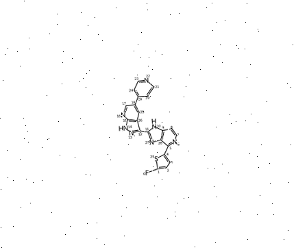 Fc1ccc(-c2nccc3[nH]c(-c4n[nH]c5ncc(-c6ccncc6)cc45)nc23)s1